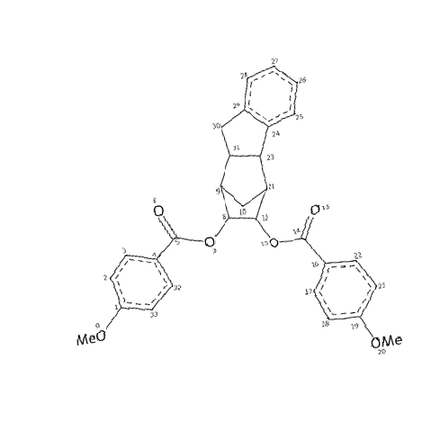 COc1ccc(C(=O)OC2C3CC(C2OC(=O)c2ccc(OC)cc2)C2c4ccccc4CC32)cc1